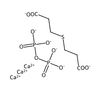 O=C([O-])CCSCCC(=O)[O-].O=P([O-])([O-])OP(=O)([O-])[O-].[Ca+2].[Ca+2].[Ca+2]